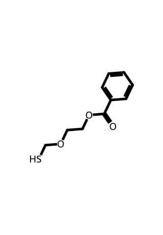 O=C(OCCOCS)c1ccccc1